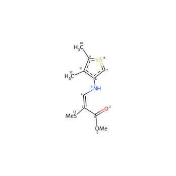 COC(=O)C(=CNc1csc(C)c1C)SC